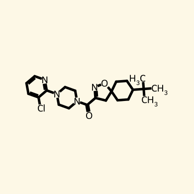 CC(C)(C)C1CCC2(CC1)CC(C(=O)N1CCN(c3ncccc3Cl)CC1)=NO2